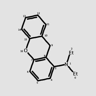 CCN(CC)c1cccc2c1Cc1ccccc1O2